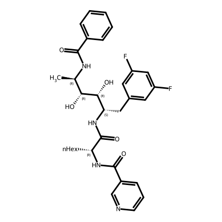 CCCCCC[C@@H](NC(=O)c1cccnc1)C(=O)N[C@@H](Cc1cc(F)cc(F)c1)[C@@H](O)[C@H](O)[C@@H](C)NC(=O)c1ccccc1